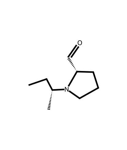 CC[C@@H](C)N1CCC[C@H]1C=O